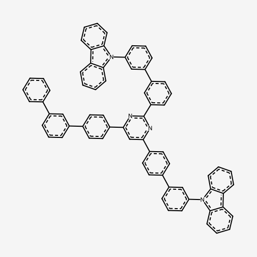 c1ccc(-c2cccc(-c3ccc(-c4cc(-c5ccc(-c6cccc(-n7c8ccccc8c8ccccc87)c6)cc5)nc(-c5cccc(-c6cccc(-n7c8ccccc8c8ccccc87)c6)c5)n4)cc3)c2)cc1